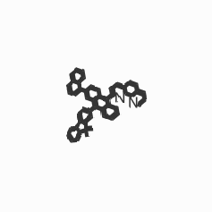 CC1(C)c2ccccc2-c2ccc(-c3c4ccccc4c(-c4ccc5ccc6cccnc6c5n4)c4ccc(-c5cccc6ccccc56)cc34)cc21